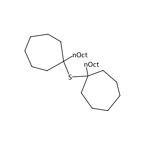 CCCCCCCCC1(SC2(CCCCCCCC)CCCCCC2)CCCCCC1